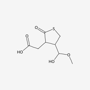 COC(O)C1CSC(=O)C1CC(=O)O